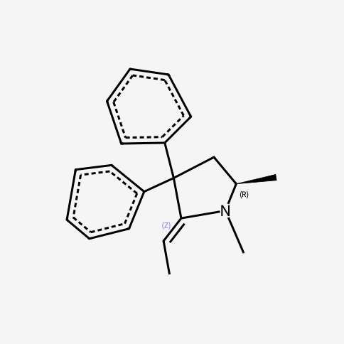 C/C=C1\N(C)[C@H](C)CC1(c1ccccc1)c1ccccc1